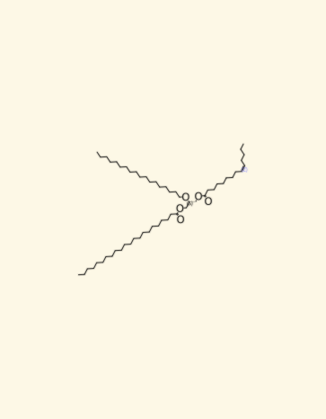 CCCC/C=C\CCCCCCCC(=O)OC[C@H](COC(=O)CCCCCCCCCCCCCCCCCCCCC)OCCCCCCCCCCCCCCCCCC